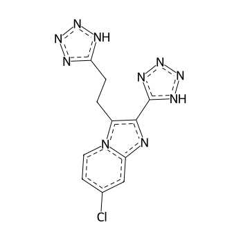 Clc1ccn2c(CCc3nnn[nH]3)c(-c3nnn[nH]3)nc2c1